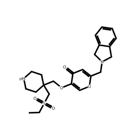 CCS(=O)(=O)CC1(COc2coc(CN3Cc4ccccc4C3)cc2=O)CCNCC1